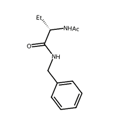 CC[C@H](NC(C)=O)C(=O)NCc1ccccc1